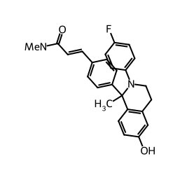 CNC(=O)/C=C/c1ccc(C2(C)c3ccc(O)cc3CCN2c2ccc(F)cc2)cc1